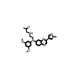 COc1cc(OC)cc(N(CCNCC(C)=O)c2ccc3ncc(-c4cnn(C)c4)nc3c2)c1